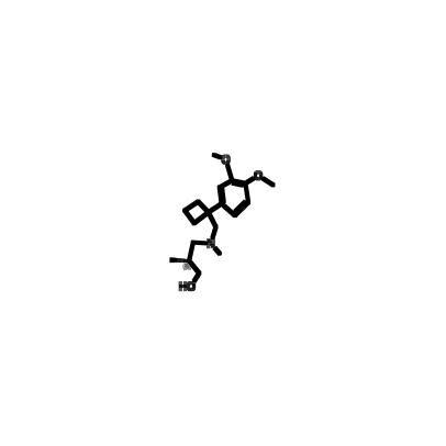 COc1ccc(C2(CN(C)C[C@H](C)CO)CCC2)cc1OC